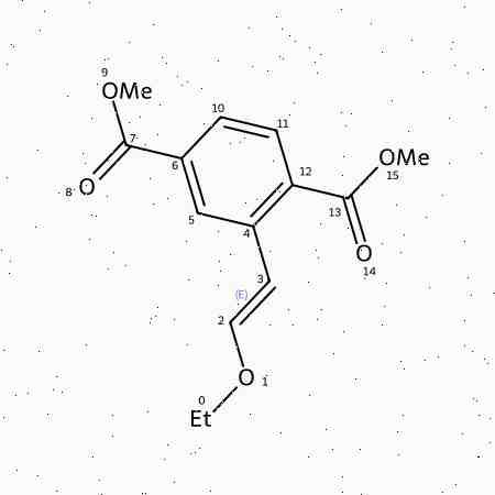 CCO/C=C/c1cc(C(=O)OC)ccc1C(=O)OC